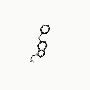 CCn1ccc2ccc(Oc3cccnc3)cc21